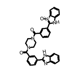 O=C(c1cccc(-c2nc3ccccc3[nH]2)c1)N1CCN(C(=O)c2cccc(-c3[nH]c4ccccc4[n+]3[O-])c2)CC1